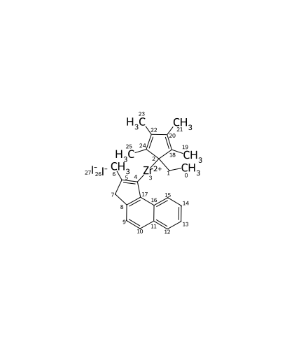 CC[C]1([Zr+2][C]2=C(C)Cc3ccc4ccccc4c32)C(C)=C(C)C(C)=C1C.[I-].[I-]